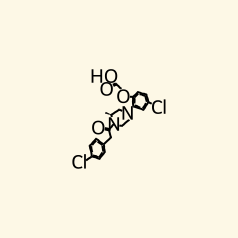 C[C@H]1CN(c2cc(Cl)ccc2OCC(=O)O)CCN1C(=O)Cc1ccc(Cl)cc1